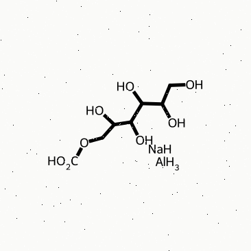 O=C(O)OCC(O)C(O)C(O)C(O)CO.[AlH3].[NaH]